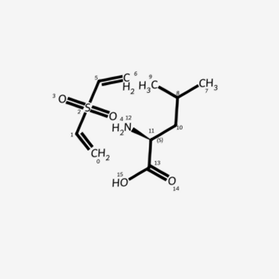 C=CS(=O)(=O)C=C.CC(C)C[C@H](N)C(=O)O